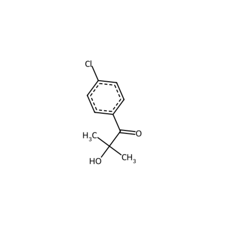 CC(C)(O)C(=O)c1ccc(Cl)cc1